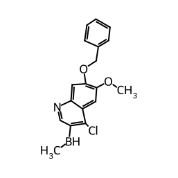 CBc1cnc2cc(OCc3ccccc3)c(OC)cc2c1Cl